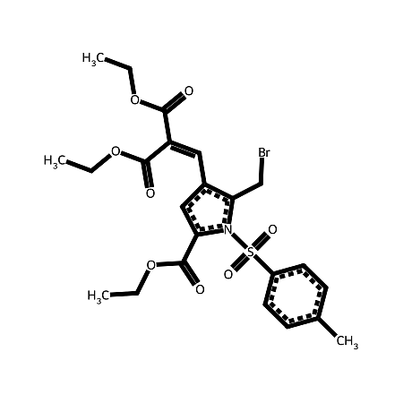 CCOC(=O)C(=Cc1cc(C(=O)OCC)n(S(=O)(=O)c2ccc(C)cc2)c1CBr)C(=O)OCC